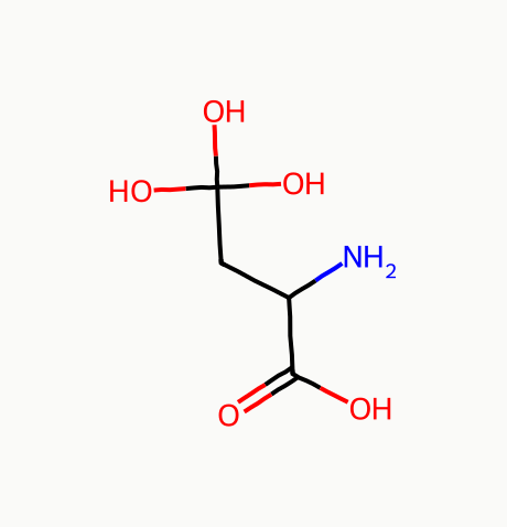 NC(CC(O)(O)O)C(=O)O